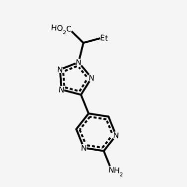 CCC(C(=O)O)n1nnc(-c2cnc(N)nc2)n1